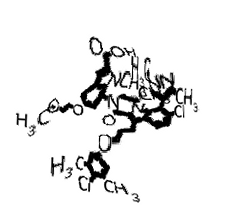 COCCOc1cc(N2C[C@@H](C)n3c(c(CCCOc4cc(C)c(Cl)c(C)c4)c4ccc(Cl)c(-c5cn(C)nc5C)c43)C2=O)c2c(c1)cc(C(=O)O)n2C